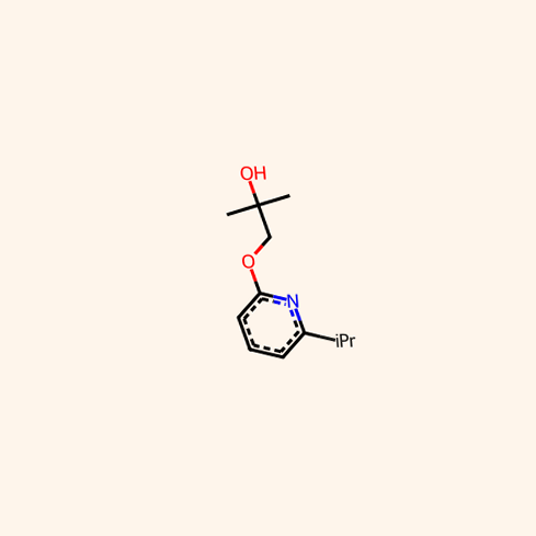 CC(C)c1cccc(OCC(C)(C)O)n1